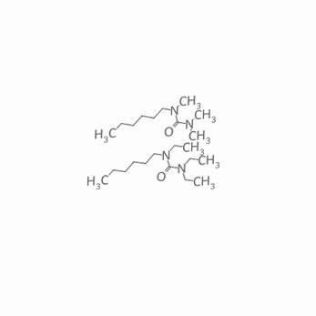 CCCCCCN(C)C(=O)N(C)C.CCCCCCN(CC)C(=O)N(CC)CC